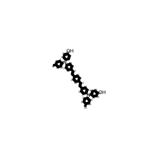 Cc1ccc(N(c2ccc(O)cc2)c2ccc(C=Cc3ccc(C=Cc4ccc(N(c5ccc(C)cc5)c5ccc(O)cc5)cc4)cc3)cc2)cc1